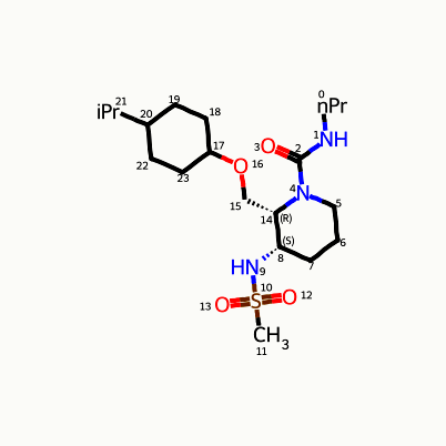 CCCNC(=O)N1CCC[C@H](NS(C)(=O)=O)[C@@H]1COC1CCC(C(C)C)CC1